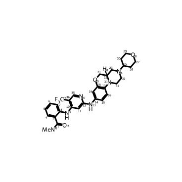 CNC(=O)c1ccccc1Nc1cc(Nc2ccc3c(c2)OC[C@@H]2CN(C4CCOCC4)CCN32)ncc1C(F)(F)F